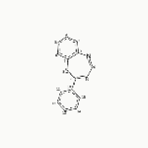 C1=Nc2ccccc2SC(c2ccccc2)=C1